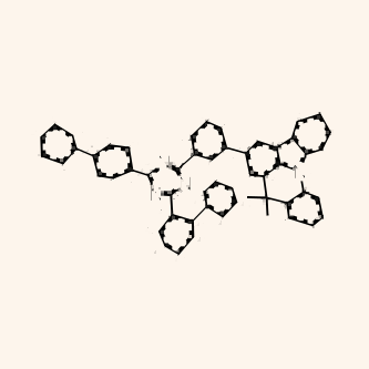 CC1(C)c2ccccc2-n2c3ccccc3c3cc(-c4cccc(-c5nc(-c6ccc(-c7ccccc7)cc6)nc(-c6ccccc6-c6ccccc6)n5)c4)cc1c32